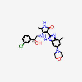 Cc1cc(N2CCOCC2)cc2[nH]c(C3=C(NC[C@@H](O)c4cccc(Cl)c4)C(C)NC3=O)nc12